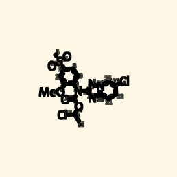 COc1cc(S(C)(=O)=O)ccc1N(C(=O)OC(C)Cl)c1nc2ccc(Cl)cn2n1